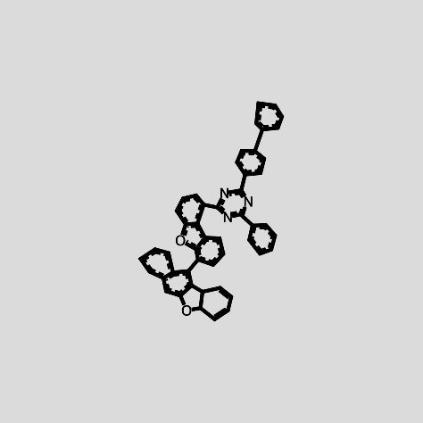 C1=CC2Oc3cc4ccccc4c(-c4cccc5c4oc4cccc(-c6nc(-c7ccccc7)nc(-c7ccc(-c8ccccc8)cc7)n6)c45)c3C2C=C1